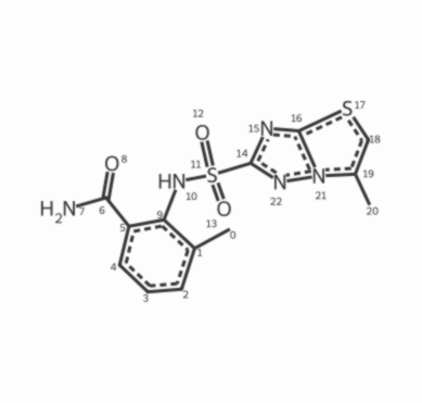 Cc1cccc(C(N)=O)c1NS(=O)(=O)c1nc2scc(C)n2n1